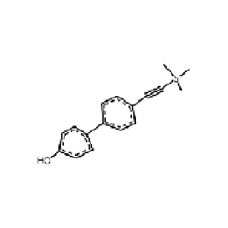 C[Si](C)(C)C#Cc1ccc(-c2ccc(O)cc2)cc1